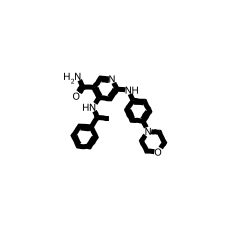 CC(Nc1cc(Nc2ccc(N3CCOCC3)cc2)ncc1C(N)=O)c1ccccc1